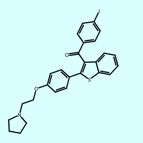 O=C(c1ccc(I)cc1)c1c(-c2ccc(OCCN3CCCC3)cc2)sc2ccccc12